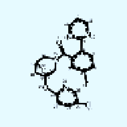 O=C(c1cc(F)ccc1-c1ncccn1)N1CC2CCC1C(Oc1ccc(Cl)cn1)C2